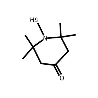 CC1(C)CC(=O)CC(C)(C)N1S